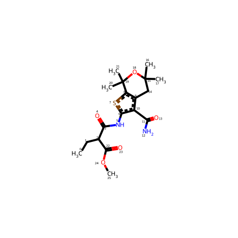 CCC(C(=O)Nc1sc2c(c1C(N)=O)CC(C)(C)OC2(C)C)C(=O)OC